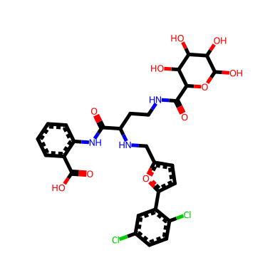 O=C(O)c1ccccc1NC(=O)C(CCNC(=O)C1OC(O)C(O)C(O)C1O)NCc1ccc(-c2cc(Cl)ccc2Cl)o1